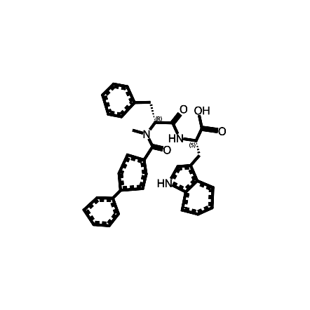 CN(C(=O)c1ccc(-c2ccccc2)cc1)[C@H](Cc1ccccc1)C(=O)N[C@@H](Cc1c[nH]c2ccccc12)C(=O)O